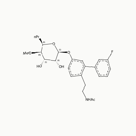 CCC[C@H]1O[C@@H](Oc2ccc(CCNC(C)=O)c(-c3cccc(F)c3)c2)[C@H](O)[C@H](O)[C@H]1OC